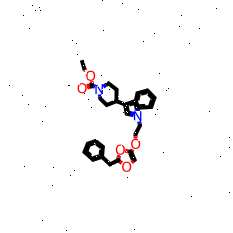 CCOC(=O)N1CCC(c2cn(CCOC3=COC(Cc4ccccc4)O3)c3ccccc23)CC1